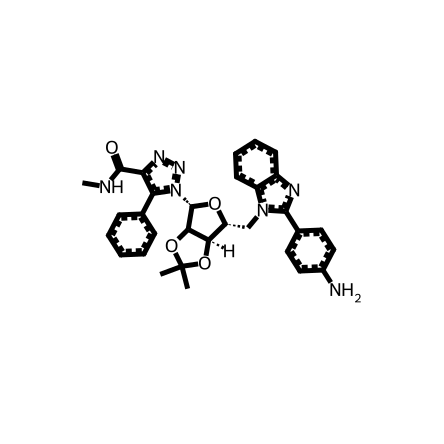 CNC(=O)c1nnn([C@@H]2O[C@H](Cn3c(-c4ccc(N)cc4)nc4ccccc43)[C@H]3OC(C)(C)OC23)c1-c1ccccc1